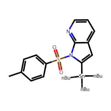 CCC[CH2][Sn]([CH2]CCC)([CH2]CCC)[c]1cc2cccnc2n1S(=O)(=O)c1ccc(C)cc1